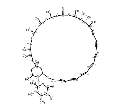 C[C@@H]1[C@H](O)[C@@H](C)/C=C/C=C/C=C/C=C/C=C/C=C/C=C/[C@H](O[C@@H]2O[C@H](C)[C@@H](O)[C@H](N)[C@@H]2O)CC2O[C@](O)(C[C@@H](O)[C@H](O)CC[C@@H](O)C[C@@H](O)C[C@@H](O)CC(=O)O[C@H]1C)C[C@H](O)[C@H]2C